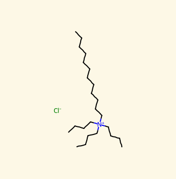 CCCCCCCCCCCC[N+](CCCC)(CCCC)CCCC.[Cl-]